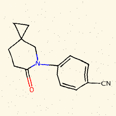 N#Cc1ccc(N2CC3(CCC2=O)CC3)cc1